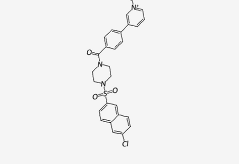 O=C(c1ccc(-c2ccc[n+]([O-])c2)cc1)N1CCN(S(=O)(=O)c2ccc3cc(Cl)ccc3c2)CC1